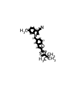 Cc1ccc2c(C#N)cn(Cc3ccc4oc(-c5nc(C(C)(C)C)cs5)cc4c3)c2c1